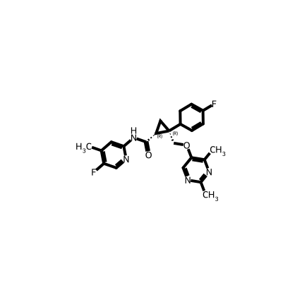 Cc1ncc(OC[C@@]2(C3C=CC(F)=CC3)C[C@H]2C(=O)Nc2cc(C)c(F)cn2)c(C)n1